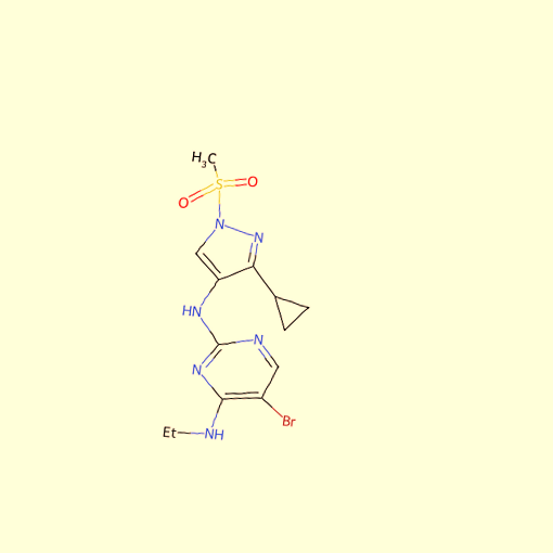 CCNc1nc(Nc2cn(S(C)(=O)=O)nc2C2CC2)ncc1Br